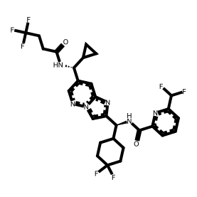 O=C(CCC(F)(F)F)N[C@@H](c1cnn2cc([C@@H](NC(=O)c3cccc(C(F)F)n3)C3CCC(F)(F)CC3)nc2c1)C1CC1